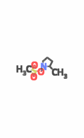 CC1CCCN1OS(C)(=O)=O